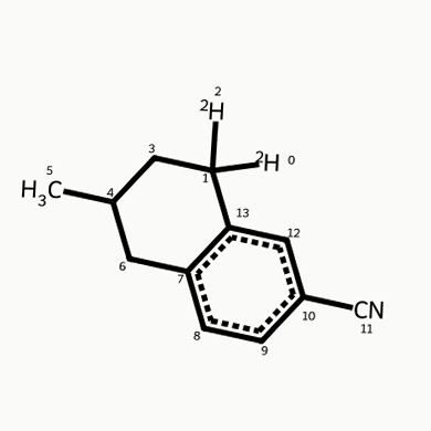 [2H]C1([2H])CC(C)Cc2ccc(C#N)cc21